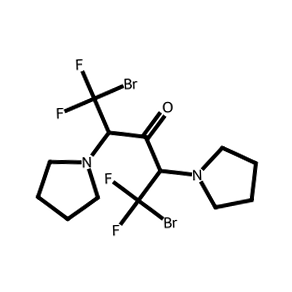 O=C(C(N1CCCC1)C(F)(F)Br)C(N1CCCC1)C(F)(F)Br